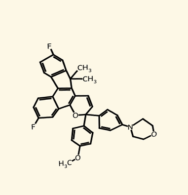 COc1ccc(C2(c3ccc(N4CCOCC4)cc3)C=Cc3c4c(c5ccc(F)cc5c3O2)-c2ccc(F)cc2C4(C)C)cc1